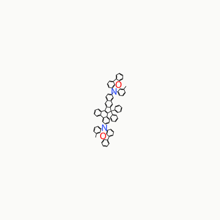 Cc1cccc(N(c2ccc3cc4c(cc3c2)C(c2ccccc2)(c2ccccc2)c2c-4c3ccccc3c3cc(N(c4cccc(C)c4)c4cccc5c4oc4ccccc45)ccc23)c2cccc3c2oc2ccccc23)c1